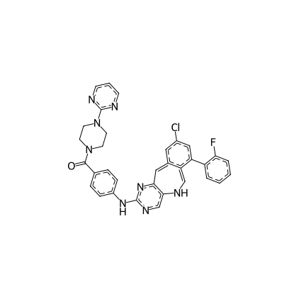 O=C(c1ccc(Nc2ncc3c(n2)C=c2cc(Cl)cc(-c4ccccc4F)c2=CN3)cc1)N1CCN(c2ncccn2)CC1